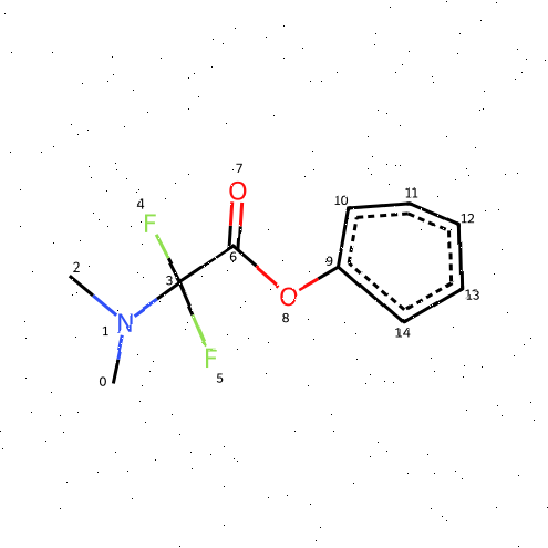 CN(C)C(F)(F)C(=O)Oc1ccccc1